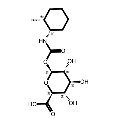 C[C@@H]1CCCC[C@@H]1NC(=O)O[C@@H]1O[C@H](C(=O)O)[C@@H](O)[C@H](O)[C@H]1O